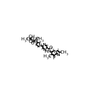 Cc1cn2cc(NC(=O)c3cnc(N4CC[C@@H](N(C)C(=O)OC(C)(C)C)C4)cn3)c(C)c(F)c2n1